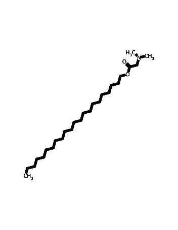 CCCCCCCCCCCCCCCCCCCCCCOC(=O)CN(C)C